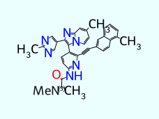 CN[C@@H](C)C(=O)Nc1ccc(-c2c(-c3cnc(C)nc3)nc3cc(C)ccn23)c(C#Cc2ccc3c(C)cccc3c2)n1